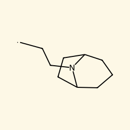 [CH2]CCN1C2CCCC1CC2